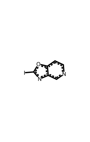 Ic1nc2cnccc2o1